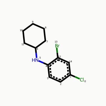 Clc1ccc(NC2CCCCC2)c(Br)c1